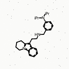 CC(C)N(c1cccc(CNCCc2c3n(c4ccccc24)CCCC3)c1)C(C)C